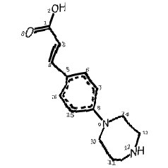 O=C(O)/C=C/c1ccc(N2CCNCC2)cc1